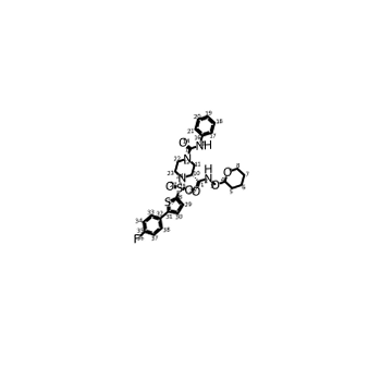 O=C(NOC1CCCCO1)[C@H]1CN(C(=O)Nc2ccccc2)CCN1S(=O)(=O)c1ccc(-c2ccc(F)cc2)s1